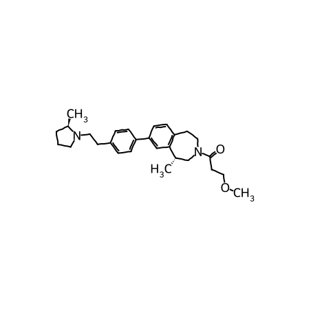 COCCC(=O)N1CCc2ccc(-c3ccc(CCN4CCC[C@H]4C)cc3)cc2[C@@H](C)C1